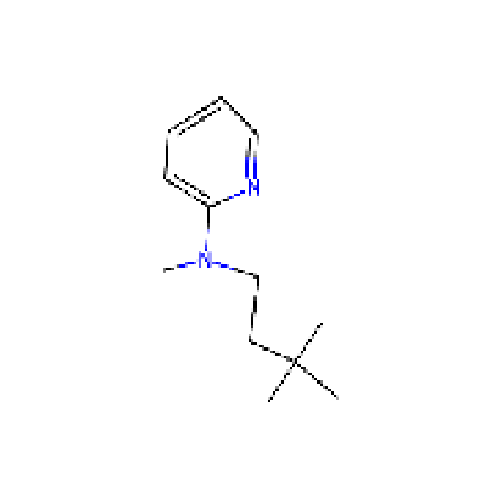 CN(CCC(C)(C)C)c1ccccn1